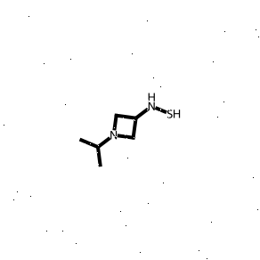 CC(C)N1CC(NS)C1